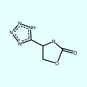 O=C1[N]C(c2nnn[nH]2)CO1